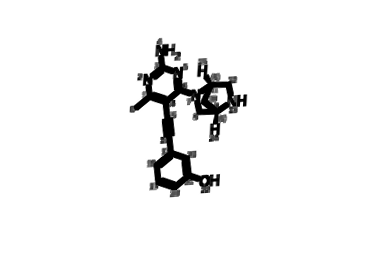 Cc1nc(N)nc(N2C[C@@H]3C[C@H]2CN3)c1C#Cc1cccc(O)c1